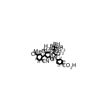 BC(B)(B)C(B)(B)C(C(=O)Nc1ccc(C(=O)O)cc1)n1cc(OC)c(-c2cc(Cl)ccc2C#N)cc1=O